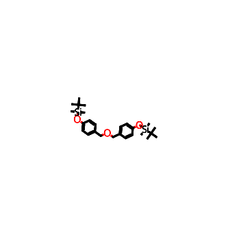 CC(C)(C)[Si](C)(C)Oc1ccc(COCc2ccc(O[Si](C)(C)C(C)(C)C)cc2)cc1